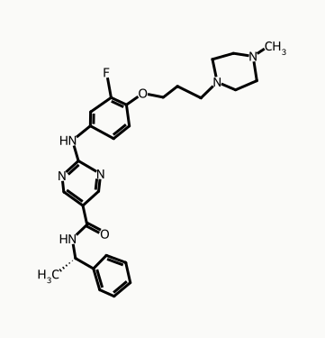 C[C@H](NC(=O)c1cnc(Nc2ccc(OCCCN3CCN(C)CC3)c(F)c2)nc1)c1ccccc1